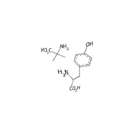 CC(C)(N)C(=O)O.NC(Cc1ccc(O)cc1)C(=O)O